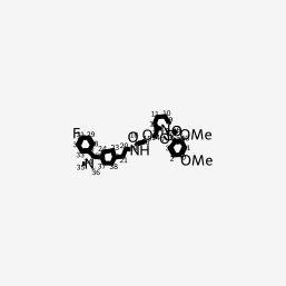 COc1ccc(S(=O)(=O)N2CCCCC2COCC(=O)NCCC2CCC(C(c3ccc(F)cc3)N(C)C)CC2)c(OC)c1